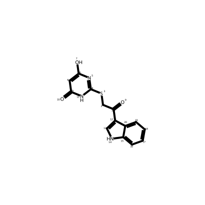 O=C(CSc1nc(O)cc(=O)[nH]1)c1c[nH]c2ccccc12